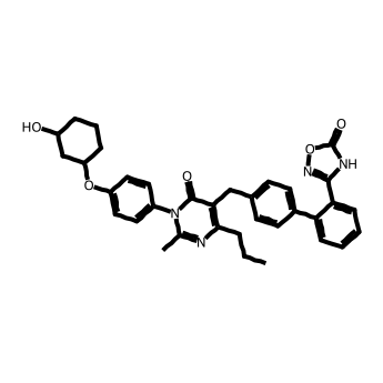 CCCc1nc(C)n(-c2ccc(OC3CCCC(O)C3)cc2)c(=O)c1Cc1ccc(-c2ccccc2-c2noc(=O)[nH]2)cc1